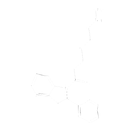 O=CNCCCCCC(=O)N1c2ccccc2CC1c1ccccc1